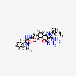 Cc1ccccc1-c1cc(NC(=O)Cc2ccc(-c3nn(C(C)C)c(N)c3C(N)=O)cc2)on1